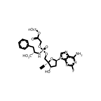 C#C[C@]1(CO[P@](=O)(N[C@@H](Cc2ccccc2)C(=O)O)OCC(=O)OCCCCCCCC)O[C@@H](n2cnc3c(N)nc(F)nc32)C[C@@H]1O